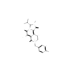 CC(C)C1N(C)C(=O)c2c3c(c(O)c(=O)n21)C(=O)N(Cc1ccc(F)cc1)CC3